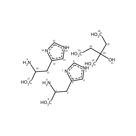 NC(Cc1c[nH]cn1)C(=O)O.NC(Cc1c[nH]cn1)C(=O)O.O=C(O)CC(O)(CC(=O)O)C(=O)O